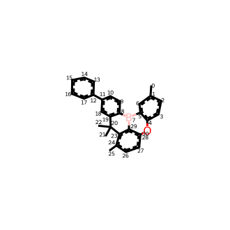 Cc1ccc2c(c1)B1c3ccc(-c4ccccc4)cc3C(C)(C)c3c(C)ccc(c31)O2